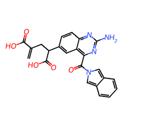 C=C(CC(C(=O)O)c1ccc2nc(N)nc(C(=O)n3cc4ccccc4c3)c2c1)C(=O)O